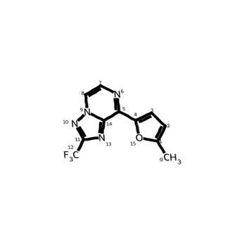 Cc1ccc(-c2nccn3nc(C(F)(F)F)nc23)o1